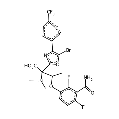 CC(Oc1ccc(F)c(C(N)=O)c1F)C(C(=O)O)(c1nc(-c2ccc(C(F)(F)F)cc2)c(Br)o1)N(C)C